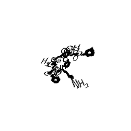 C[C@H](CCCOP(=O)(O)N[C@@H](CCC(=O)OCc1ccccc1)C(=O)OCc1ccccc1)NC(=O)CC[C@H](NC(=O)CCCCCN)C(=O)OCc1ccccc1